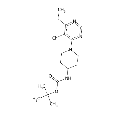 CCc1ncnc(N2CCC(NC(=O)OC(C)(C)C)CC2)c1Cl